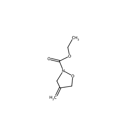 C=C1CON(C(=O)OCC)C1